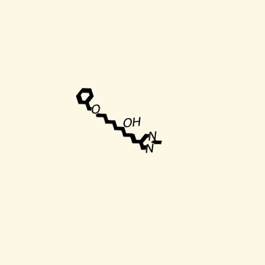 Cc1ncc(C=CC[C@H](O)CCCCCOCc2ccccc2)cn1